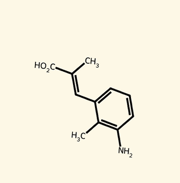 CC(=Cc1cccc(N)c1C)C(=O)O